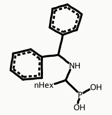 CCCCCCC(NC(c1ccccc1)c1ccccc1)P(O)O